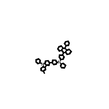 Cc1ccc2c(c1)c1cc(-c3ccc(N(c4ccccc4)c4ccc(-c5c6ccccc6c(-c6ccccc6)c6ccccc56)cc4)cc3)ccc1n2-c1ccccc1